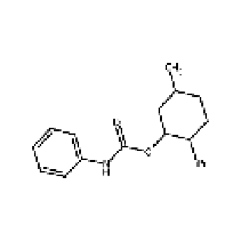 CC1CCC(C(C)C)C(OC(=O)Nc2ccccc2)C1